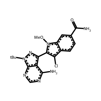 COn1c(-c2nn(C(C)(C)C)c3ncnc(N)c23)c(Cl)c2ccc(C(N)=O)cc21